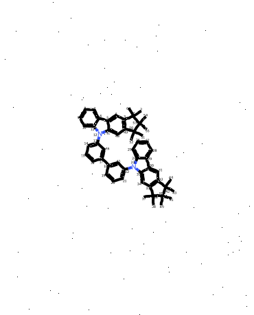 CC1(C)c2cc3c4ccccc4n(-c4cccc(-c5cccc(-n6c7ccccc7c7cc8c(cc76)C(C)(C)C(C)(C)C8(C)C)c5)c4)c3cc2C(C)(C)C1(C)C